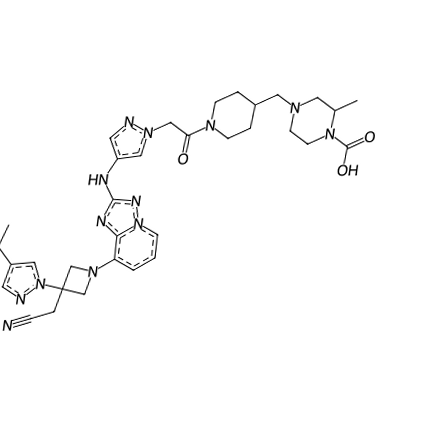 CCc1cnn(C2(CC#N)CN(c3cccn4nc(Nc5cnn(CC(=O)N6CCC(CN7CCN(C(=O)O)C(C)C7)CC6)c5)nc34)C2)c1